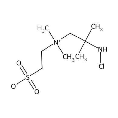 CC(C)(C[N+](C)(C)CCS(=O)(=O)[O-])NCl